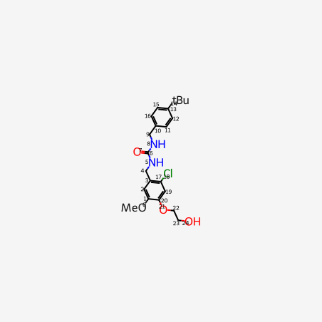 COc1cc(CNC(=O)NCc2ccc(C(C)(C)C)cc2)c(Cl)cc1OCCO